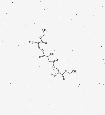 CCOC(=O)C(C)=COC(=O)CC(O)C(=O)OC=C(C)C(=O)OCC